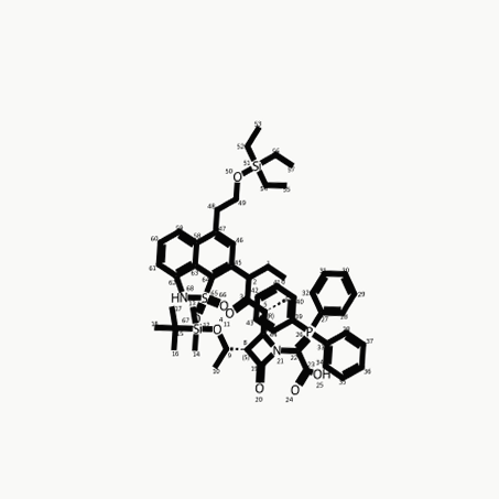 CCC(C(=O)[C@H](C)C1[C@@H](C(C)O[Si](C)(C)C(C)(C)C)C(=O)N1C(C(=O)O)=P(c1ccccc1)(c1ccccc1)c1ccccc1)c1cc(CCO[Si](CC)(CC)CC)c2cccc3c2c1S(=O)(=O)N3